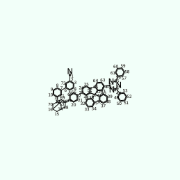 N#Cc1cccc(-c2cccc(C34CC5CC(CC(c6ccc(-c7ccc8c(c7)C7(c9ccccc9-c9ccccc97)c7cc(-c9nc(-c%10ccccc%10)nc(-c%10ccccc%10)n9)ccc7-8)cc6)(C5)C3)C4)c2)c1